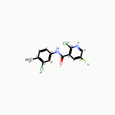 Cc1ccc(NC(=O)c2cc(F)cnc2Cl)cc1Cl